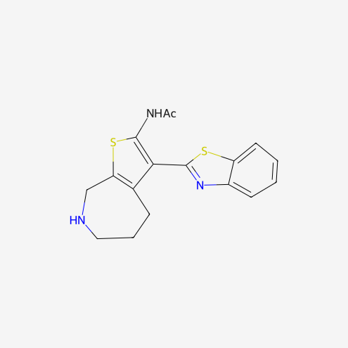 CC(=O)Nc1sc2c(c1-c1nc3ccccc3s1)CCCNC2